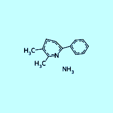 Cc1ccc(-c2ccccc2)nc1C.N